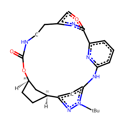 CC(C)(C)n1nc2cc1Nc1cccc(n1)-c1nc(co1)CCNC(=O)O[C@@H]1CC[C@H]2C1